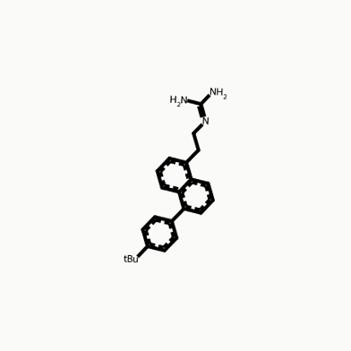 CC(C)(C)c1ccc(-c2cccc3c(CCN=C(N)N)cccc23)cc1